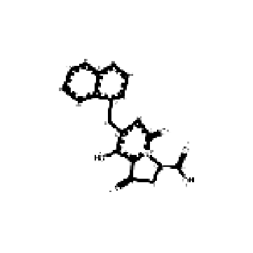 O=C(O)[C@H]1CC(=S)c2c(O)c(Cc3cccc4ccccc34)cc(=O)n21